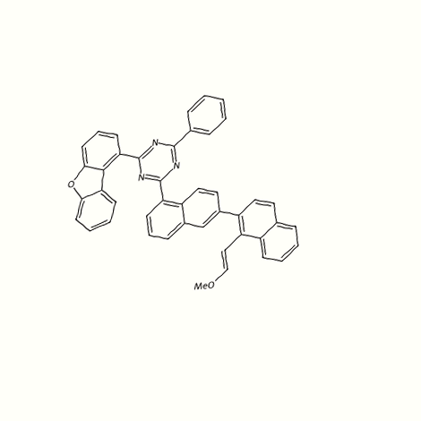 CO/C=C/c1c(-c2ccc3c(-c4nc(-c5ccccc5)nc(-c5cccc6oc7ccccc7c56)n4)cccc3c2)ccc2ccccc12